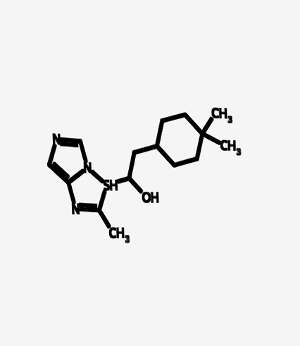 CC1=Nc2cncn2[SH]1C(O)CC1CCC(C)(C)CC1